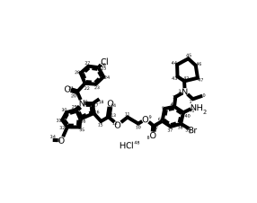 CCN(Cc1cc(C(=O)OCCOC(=O)Cc2c(C)n(C(=O)c3ccc(Cl)cc3)c3ccc(OC)cc23)cc(Br)c1N)C1CCCCC1.Cl